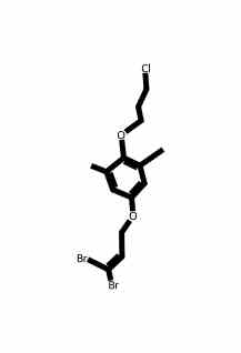 Cc1cc(OCC=C(Br)Br)cc(C)c1OCCCCl